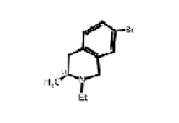 CCN1Cc2cc(Br)ccc2C[C@@H]1C